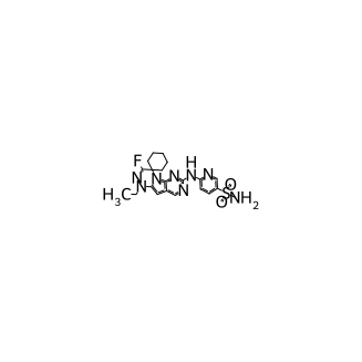 CCN1N=C(F)C2(CCCCC2)n2c1cc1cnc(Nc3ccc(S(N)(=O)=O)cn3)nc12